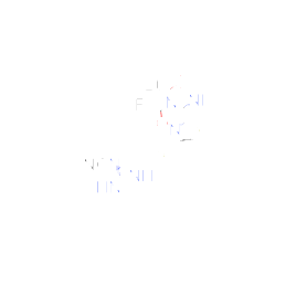 CCC(=O)N(C(=N)c1nc(CSCCN/C(=N/C#N)NC2CCCCC2)cs1)C(=O)CC